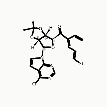 C=CC(=CC=CCC)C(=O)[C@H]1O[C@@H](n2ccc3c(Cl)ncnc32)[C@@H]2OC(C)(C)O[C@@H]21